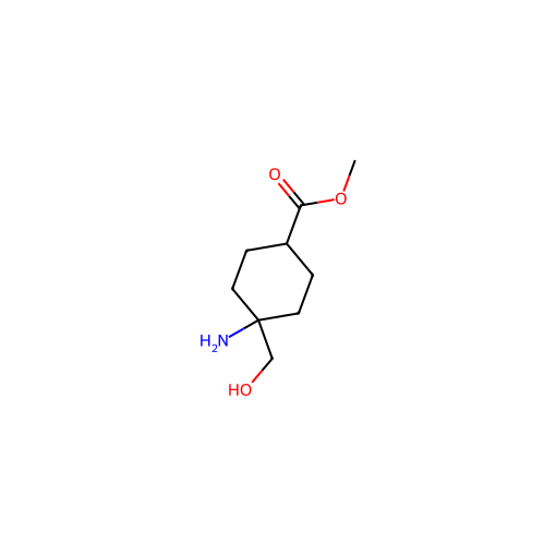 COC(=O)C1CCC(N)(CO)CC1